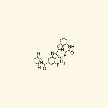 CCC1C(=O)Nc2cccc3cc(-c4nc5cc(C(=O)N6C[C@H]7CC[C@@H]6C7)cc(F)c5n4C)n1c23